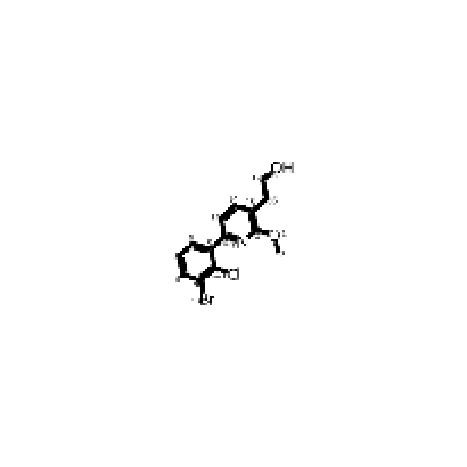 COc1nc(-c2cccc(Br)c2Cl)ccc1CCO